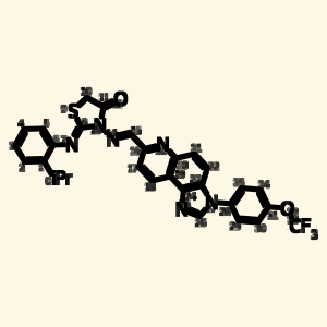 CC(C)c1ccccc1/N=C1\SCC(=O)N1/N=C/c1ccc2c(ccc3c2ncn3-c2ccc(OC(F)(F)F)cc2)n1